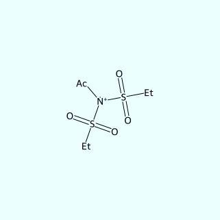 CCS(=O)(=O)[N+](C(C)=O)S(=O)(=O)CC